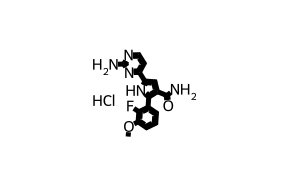 COc1cccc(-c2[nH]c(-c3ccnc(N)n3)cc2C(N)=O)c1F.Cl